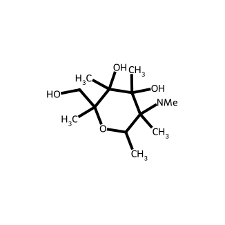 CNC1(C)C(C)OC(C)(CO)C(C)(O)C1(C)O